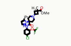 COC(=O)C1(C)CC(N2CCC(C(=O)Nc3ccc(Cl)cc3OC(F)F)(n3nccc3C(C)C)CC2)C1